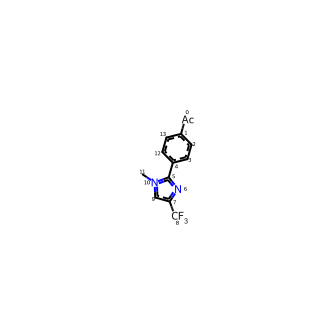 CC(=O)c1ccc(-c2nc(C(F)(F)F)cn2C)cc1